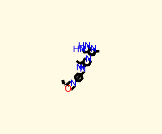 C=C[C@H]1CN(C23CCC(Cn4nc(C)c5c4CCN(c4cc(C)nc(NC)c4C=N)C5)(CC2)CC3)CCO1